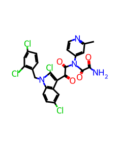 Cc1cc(N(C(=O)C(N)=O)C(=O)C(=O)c2c(Cl)n(Cc3ccc(Cl)cc3Cl)c3ccc(Cl)cc23)ccn1